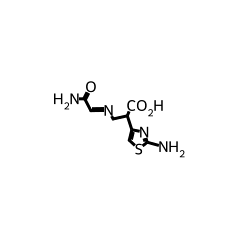 NC(=O)C=NCC(C(=O)O)c1csc(N)n1